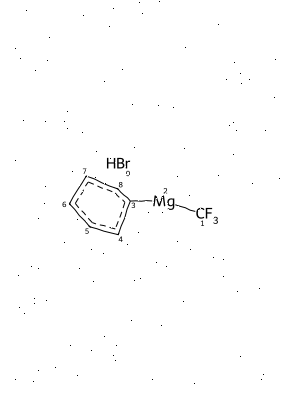 Br.F[C](F)(F)[Mg][c]1ccccc1